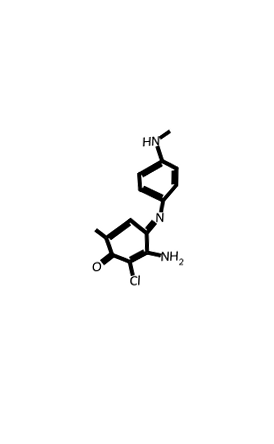 CNc1ccc(/N=C2\C=C(C)C(=O)C(Cl)=C2N)cc1